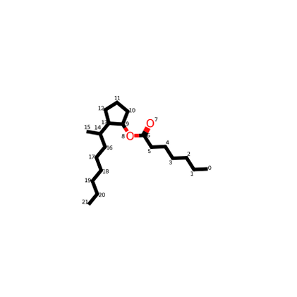 CCCCCCC(=O)OC1CCCC1C(C)CCCCCC